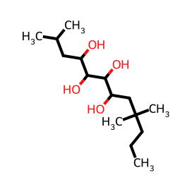 CCCC(C)(C)CC(O)C(O)C(O)C(O)CC(C)C